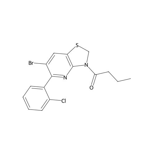 CCCC(=O)N1CSc2cc(Br)c(-c3ccccc3Cl)nc21